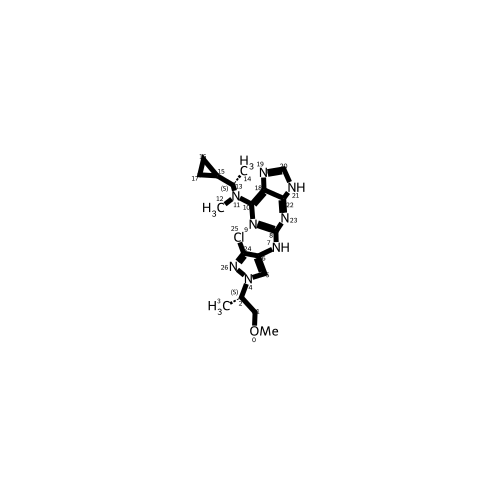 COC[C@H](C)n1cc(Nc2nc(N(C)[C@@H](C)C3CC3)c3nc[nH]c3n2)c(Cl)n1